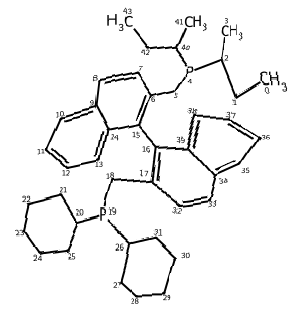 CCC(C)P(Cc1ccc2ccccc2c1-c1c(CP(C2CCCCC2)C2CCCCC2)ccc2ccccc12)C(C)CC